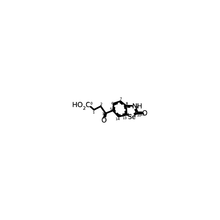 O=C(O)CCC(=O)c1ccc2[nH]c(=O)[se]c2c1